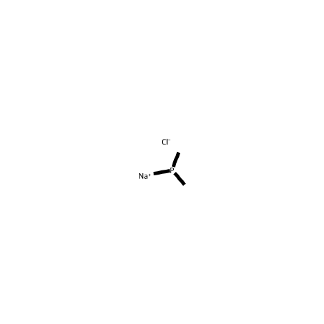 CP(C)C.[Cl-].[Na+]